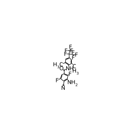 Cc1cc(C(F)(C(F)(F)F)C(F)(F)F)cc(C)c1NC(=O)c1cc(F)c(C#N)c(N)c1F